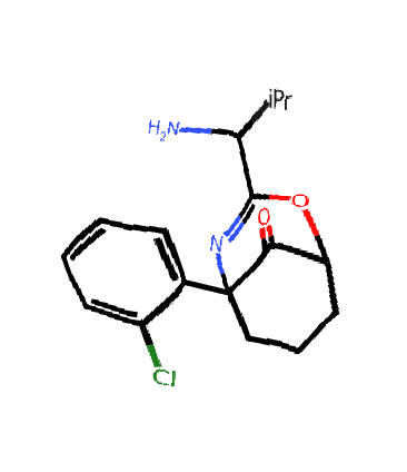 CC(C)C(N)C1=NC2(c3ccccc3Cl)CCCC(O1)C2=O